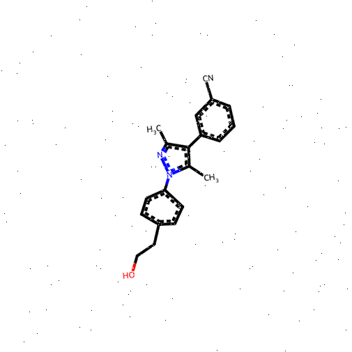 Cc1nn(-c2ccc(CCO)cc2)c(C)c1-c1cccc(C#N)c1